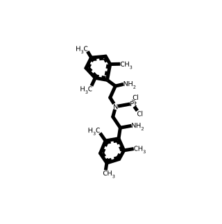 Cc1cc(C)c(C(N)C[N](CC(N)c2c(C)cc(C)cc2C)[Pt]([Cl])[Cl])c(C)c1